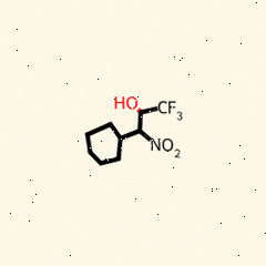 O=[N+]([O-])C(C1CCCCC1)C(O)C(F)(F)F